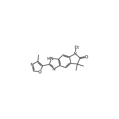 CCN1C(=O)C(C)(C)c2cc3nc(-c4ocnc4C)[nH]c3cc21